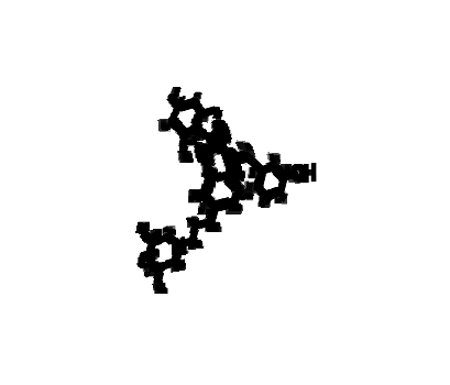 Cc1cc(C)c(S(=O)(=O)N(Cc2cccc(O)c2)c2ccc(CCCN3CC(C)OC(C)C3)cc2)c(C)c1